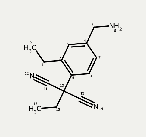 CCc1cc(CN)ccc1C(C#N)(C#N)CC